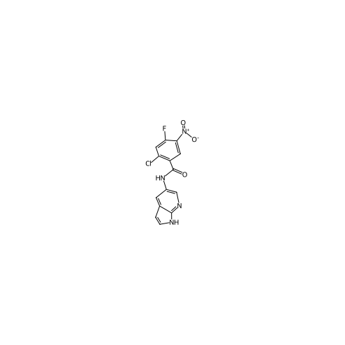 O=C(Nc1cnc2[nH]ccc2c1)c1cc([N+](=O)[O-])c(F)cc1Cl